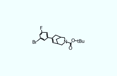 CC(C)(C)OC(=O)N1CC2C=C(c3cc(F)cc(Br)c3)CC(C2)C1